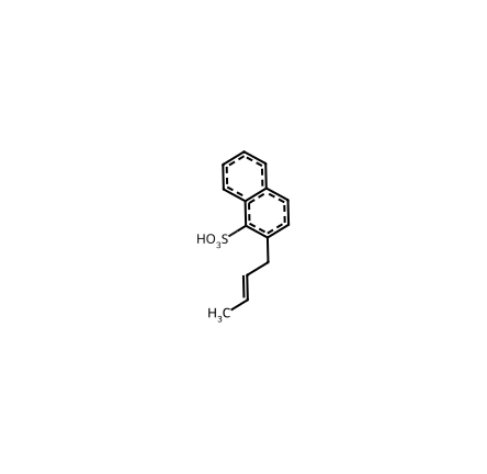 CC=CCc1ccc2ccccc2c1S(=O)(=O)O